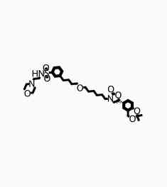 CC1(C)OCc2cc([C@@H]3CN(CCCCCCOCCCCc4cccc(S(=O)(=O)NCCN5CCOCC5)c4)C(=O)O3)ccc2O1